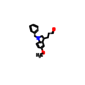 COc1ccc2c(c1)C(CCC=O)CN2Cc1ccccc1